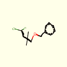 CC(C)(C=C(Cl)Cl)COCc1ccccc1